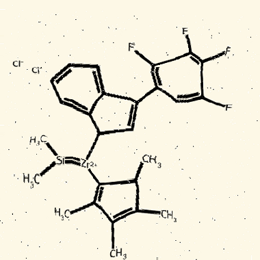 CC1=C(C)C(C)[C]([Zr+2]([CH]2C=C(c3cc(F)c(F)c(F)c3F)c3ccccc32)=[Si](C)C)=C1C.[Cl-].[Cl-]